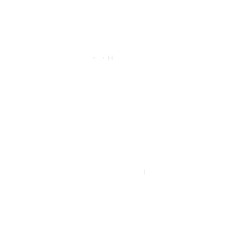 Cc1cccc(C#Cc2ccc(CCC(=O)O)cc2)c1